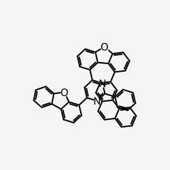 c1ccc(-c2nc(-c3cccc4c3oc3ccccc34)cc(-c3cccc4oc5cccc(-c6ccc7ccc8ccccc8c7c6)c5c34)n2)cc1